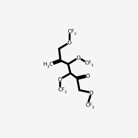 C=C(COC(F)(F)F)C(OC(F)(F)F)C(OC(F)(F)F)C(=O)COC(F)(F)F